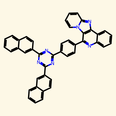 c1ccc2cc(-c3nc(-c4ccc(-c5nc6ccccc6c6nc7ccccn7c56)cc4)nc(-c4ccc5ccccc5c4)n3)ccc2c1